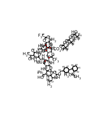 CC[C@H](C)[C@H](NC(=O)[C@@H](CCCNC(=N)N)NC(=O)[C@H](CC(C)C)NC(=O)[C@@H](NC(=O)[C@H](CN)NC(=O)OCc1ccc(-c2ccccc2N(C)C)cc1)[C@H](O)C(C)C)C(=O)N[C@H](C(=O)NCC(=O)N[C@H](C(=O)N[C@@H](COC(=O)C(F)(F)F)C(=O)O)[C@H](OC(=O)C(F)(F)F)C(N)=O)[C@H](C)O.O=C(O)C(F)(F)F.O=C(O)C(F)(F)F.O=C(O)C(F)(F)F